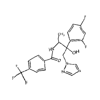 CC(NC(=O)c1ccc(C(F)(F)F)cc1)C(O)(Cn1cncn1)c1ccc(F)cc1F